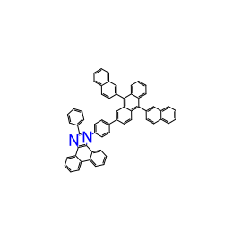 c1ccc(-c2nc3c4ccccc4c4ccccc4c3n2-c2ccc(-c3ccc4c(-c5ccc6ccccc6c5)c5ccccc5c(-c5ccc6ccccc6c5)c4c3)cc2)cc1